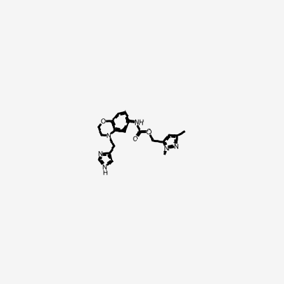 Cc1cc(COC(=O)Nc2ccc3c(c2)N(Cc2c[nH]cn2)CCO3)n(C)n1